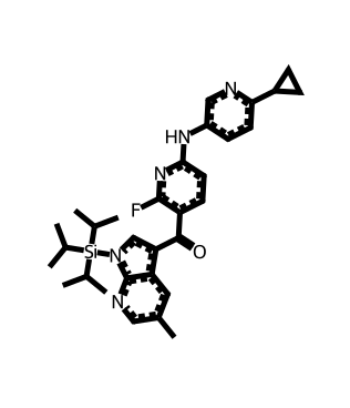 Cc1cnc2c(c1)c(C(=O)c1ccc(Nc3ccc(C4CC4)nc3)nc1F)cn2[Si](C(C)C)(C(C)C)C(C)C